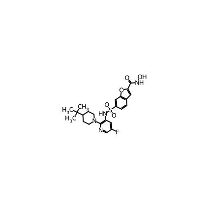 CC(C)(C)C1CCN(c2ncc(F)cc2NS(=O)(=O)c2ccc3cc(C(=O)NO)oc3c2)CC1